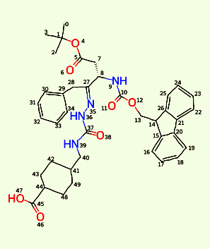 CC(C)(C)OC(=O)C[C@H](NC(=O)OCC1c2ccccc2-c2ccccc21)C(Cc1ccccc1)=NNC(=O)NCC1CCC(C(=O)O)CC1